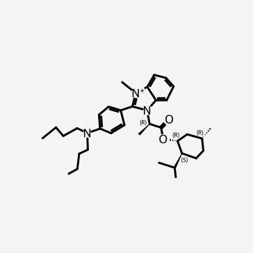 CCCCN(CCCC)c1ccc(-c2n([C@H](C)C(=O)O[C@@H]3C[C@H](C)CC[C@H]3C(C)C)c3ccccc3[n+]2C)cc1